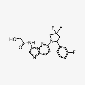 O=C(CO)Nc1cnc2ccc(N3CC(F)(F)CC3c3cccc(F)c3)nn12